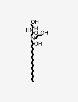 CCCCCCCCCCCCCCC(O)CN(CCNCCO)CC(O)CO